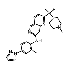 CN1CCC([C@@](C)(F)c2ccc3cnc(Nc4ccc(-n5cccn5)cc4F)cc3n2)CC1